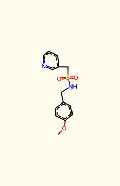 COc1ccc(CNS(=O)(=O)Cc2cccnc2)cc1